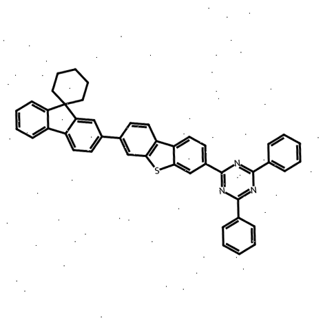 c1ccc(-c2nc(-c3ccccc3)nc(-c3ccc4c(c3)sc3cc(-c5ccc6c(c5)C5(CCCCC5)c5ccccc5-6)ccc34)n2)cc1